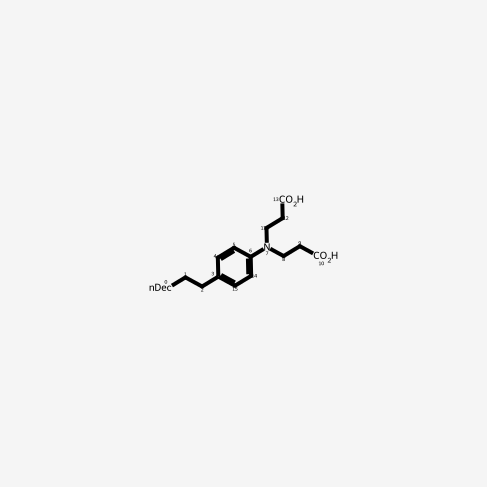 CCCCCCCCCCCCc1ccc(N(CCC(=O)O)CCC(=O)O)cc1